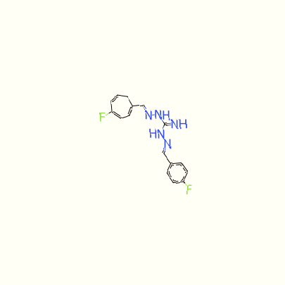 N=C(N/N=C/C1=CC=C(F)C=CC1)N/N=C/c1ccc(F)cc1